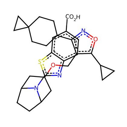 O=C(O)c1ccc2nc(N3C4CCC3CC(OCc3c(C5CCC6(CC5)CC6)noc3C3CC3)C4)sc2c1